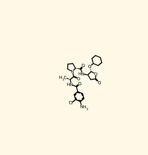 C[C@H](NC(=O)c1ccc(N)c(Cl)c1)C(=O)N1CCC[C@H]1C(=O)NC1CC(=O)O[C@H]1OC1CCCCC1